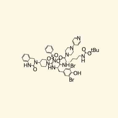 CC(C)(C)OC(=O)NCCCC[C@H](NC(=O)[C@@H](Cc1cc(Br)c(O)c(Br)c1)NC(=NS(=O)(=O)c1ccccc1)N1CCC(N2Cc3ccccc3NC2=O)CC1)C(=O)N1CCN(c2ccncc2)CC1